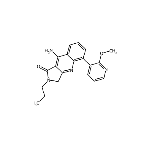 CCCN1Cc2nc3c(-c4cccnc4OC)cccc3c(N)c2C1=O